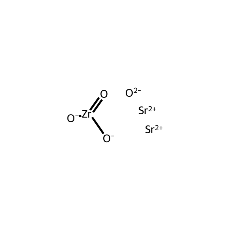 [O-2].[O]=[Zr]([O-])[O-].[Sr+2].[Sr+2]